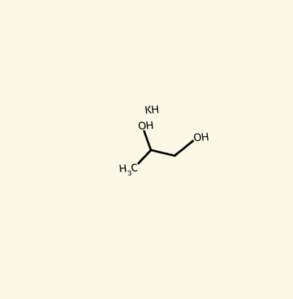 CC(O)CO.[KH]